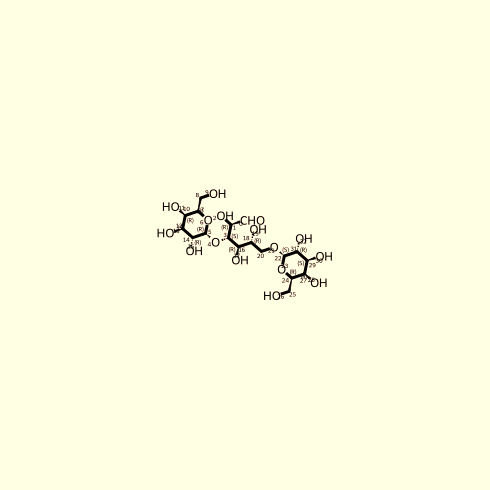 O=C[C@H](O)[C@@H](O[C@H]1O[C@H](CO)[C@H](O)[C@H](O)[C@H]1O)[C@H](O)[C@H](O)CO[C@H]1O[C@H](CO)[C@H](O)[C@H](O)[C@H]1O